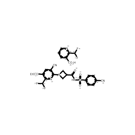 CCOC(=O)c1cc(C#N)c(N2CC(C(=O)NS(=O)(=O)c3ccc(C#N)cc3)C2)nc1C(F)F.O=C(O)c1cccnc1C(F)F